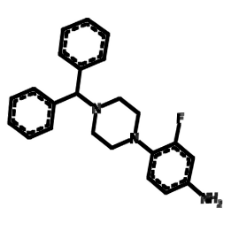 Nc1ccc(N2CCN(C(c3ccccc3)c3ccccc3)CC2)c(F)c1